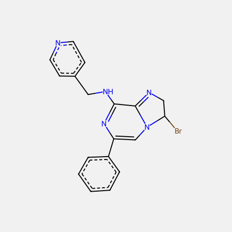 BrC1CN=C2C(NCc3ccncc3)=NC(c3ccccc3)=CN21